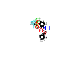 O=C(Nc1ccc(Cl)c(S(=O)(=O)C(F)(F)F)c1)Oc1ccccc1